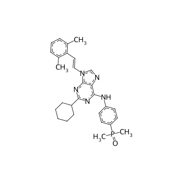 Cc1cccc(C)c1C=Cn1cnc2c(Nc3ccc(P(C)(C)=O)cc3)nc(C3CCCCC3)nc21